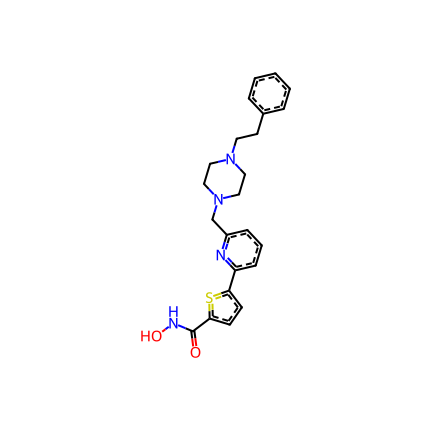 O=C(NO)c1ccc(-c2cccc(CN3CCN(CCc4ccccc4)CC3)n2)s1